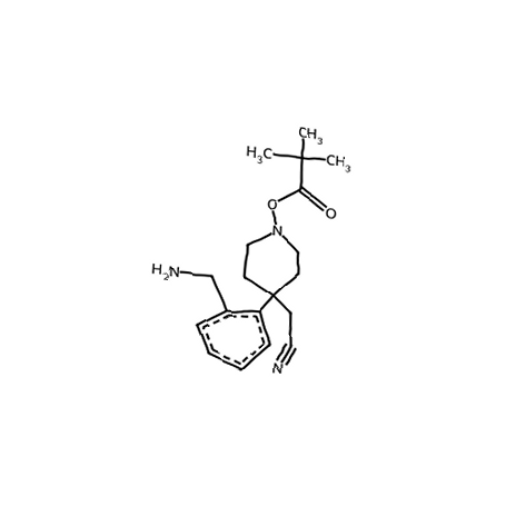 CC(C)(C)C(=O)ON1CCC(CC#N)(c2ccccc2CN)CC1